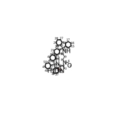 Cn1ncc(N(C=O)CCCNC(c2ccccc2)(c2ccccc2)c2ccccc2)c1NC(c1ccccc1)(c1ccccc1)c1ccccc1